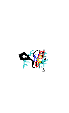 CC(c1c(F)cccc1F)N(C)S(=O)(=O)C(F)(F)F